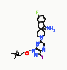 C[Si](C)(C)CCOCn1nc(I)c2ncc(N3CCC4(CC3)Cc3cc(F)ccc3[C@H]4N)nc21